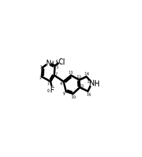 Fc1ccnc(Cl)c1-c1ccc2c(c1)CNC2